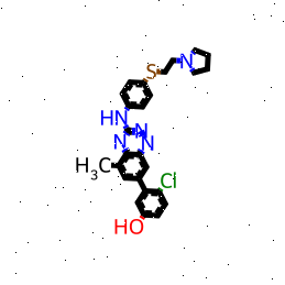 Cc1cc(-c2cc(O)ccc2Cl)cc2nnc(Nc3ccc(SCCN4CCCC4)cc3)nc12